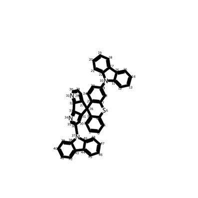 c1ccc2c(c1)Sc1cc(-n3c4ccccc4c4ccccc43)ccc1C21c2cccnc2-c2ncc(-n3c4ccccc4c4ccccc43)cc21